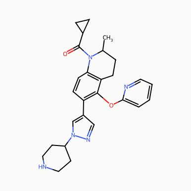 CC1CCc2c(ccc(-c3cnn(C4CCNCC4)c3)c2Oc2ccccn2)N1C(=O)C1CC1